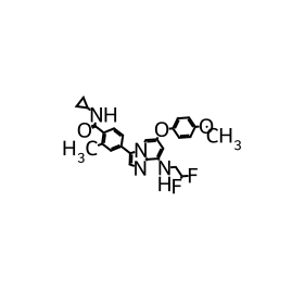 COc1ccc(Oc2cc(NCC(F)F)c3ncc(-c4ccc(C(=O)NC5CC5)c(C)c4)n3c2)cc1